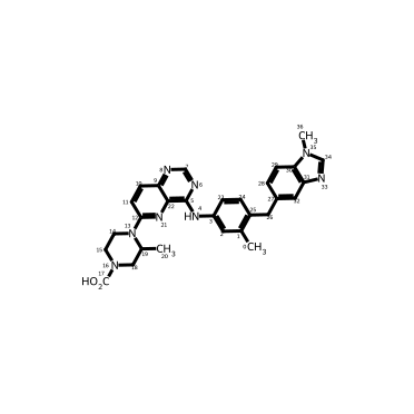 Cc1cc(Nc2ncnc3ccc(N4CCN(C(=O)O)CC4C)nc23)ccc1Cc1ccc2c(c1)ncn2C